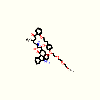 COCCOCCOCCOc1ccc(CCCOc2ccccc2C(=O)CC(C)CC(N)C(O)C(O)C(Cc2ccccc2)C(=O)[C@@H]2c3ccccc3[C@H](N)[C@H]2O)cc1